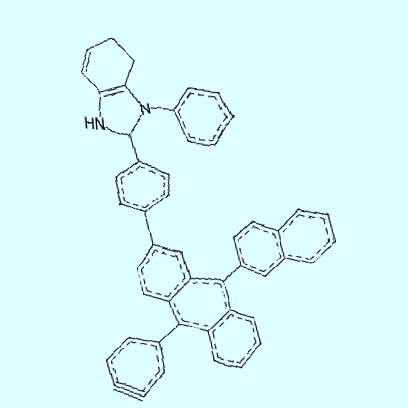 c1ccc(-c2c3ccccc3c(-c3ccc4ccccc4c3)c3cc(-c4ccc(C5NC6=C(CCC=C6)N5c5ccccc5)cc4)ccc23)cc#1